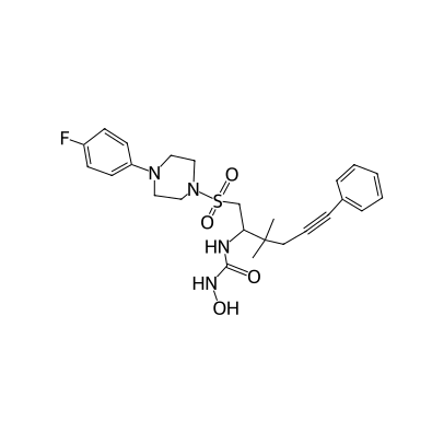 CC(C)(CC#Cc1ccccc1)C(CS(=O)(=O)N1CCN(c2ccc(F)cc2)CC1)NC(=O)NO